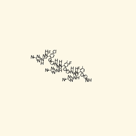 CN[C@@H]1CC[C@@H](Oc2ccc(C)c(F)c2-c2cc(Nc3cnc(C#N)cn3)[n+](CN[C@@H]3CC[C@@H](Oc4cc(F)c(C)cc4-c4cc(Nc5cnc(C#N)cn5)[n+](CN[C@@H]5CC[C@@H](Oc6ccc(Cl)c(F)c6-c6cc(Nc7cnc(C#N)cn7)n[nH]6)C5)[nH]4)C3)[nH]2)C1